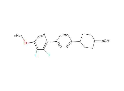 CCCCCCCCC1CCC(c2ccc(-c3ccc(OCCCCCC)c(F)c3F)cc2)CC1